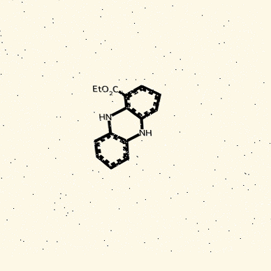 CCOC(=O)c1cccc2c1Nc1ccccc1N2